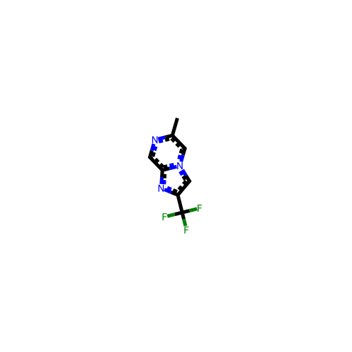 Cc1cn2cc(C(F)(F)F)nc2cn1